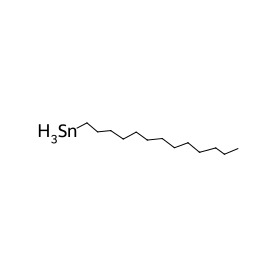 CCCCCCCCCCCC[CH2][SnH3]